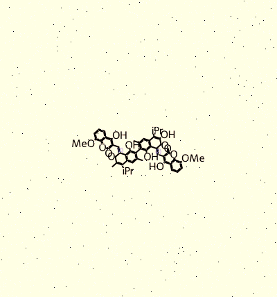 COc1cccc2c(O)c(/C=C3\C(=O)C(C)=C(C(C)C)c4cc(C)c(-c5c(C)cc6c(c5O)/C(=C/c5c(O)c7cccc(OC)c7oc5=O)C(=O)C(O)=C6C(C)C)c(O)c43)c(=O)oc12